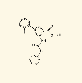 COC(=O)c1sc(-c2ccccc2Cl)cc1NC(=O)Oc1ccccc1